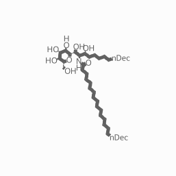 CCCCCCCCCCCCCCCCCCCCCCCCCC(=O)N[C@@H](C(O)[C@@H]1O[C@H](CO)[C@@H](O)[C@H](O)[C@H]1O)[C@H](O)CCCCCCCCCCCCCCC